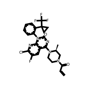 C=CC(=O)N1CCN(c2nc(=O)n(-c3ccccc3C3(C(F)(F)F)CC3)c3nc(Cl)c(F)cc23)[C@@H](C)C1